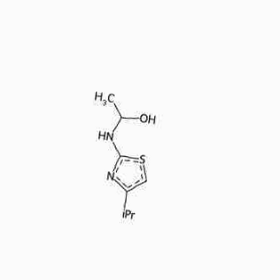 CC(O)Nc1nc(C(C)C)cs1